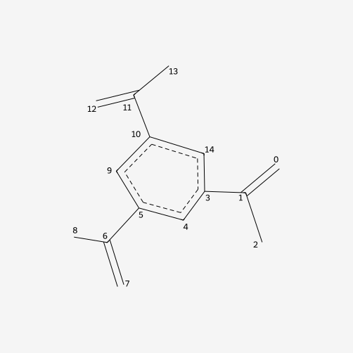 C=C(C)c1cc(C(=C)C)cc(C(=C)C)c1